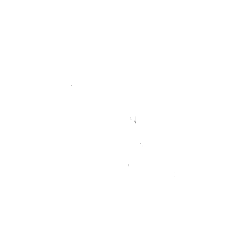 C#CCN(C(=O)CCl)C1=C(C)C(C)(C)CC(C)(C)C1